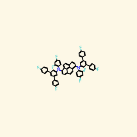 Fc1ccc(-c2cc(-c3ccc(F)cc3)cc(N(c3ccc(F)cc3F)c3ccc4ccc5c(N(c6cc(-c7ccc(F)cc7)cc(-c7ccc(F)cc7)c6)c6ccc(F)cc6F)ccc6ccc3c4c65)c2)cc1